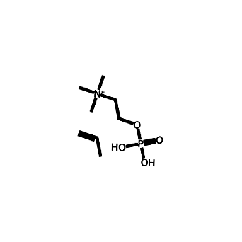 C=CC.C[N+](C)(C)CCOP(=O)(O)O